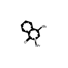 CCCn1cc(C(C)(C)C)c2ccccc2c1=O